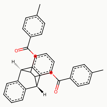 Cc1ccc(C(=O)OC2C(OC(=O)c3ccc(C)cc3)[C@H]3c4ccccc4[C@H]2c2ccccc23)cc1